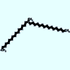 CCCCCCCCCCCCCCCCP(C)CCCCCCCCCCCCCCCC